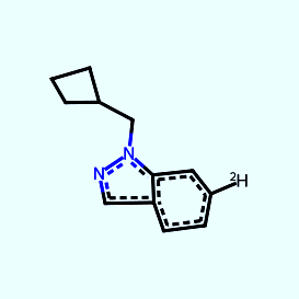 [2H]c1ccc2cnn(CC3CCC3)c2c1